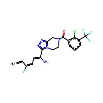 C=C/C(F)=C\C=C(/N)c1nnc2n1CCN(C(=O)c1cccc(C(F)(F)F)c1Cl)C2